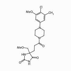 COCC1(CCC(=O)N2CCN(c3cc(C)c(Cl)c(OC)c3)CC2)NC(=O)NC1=O